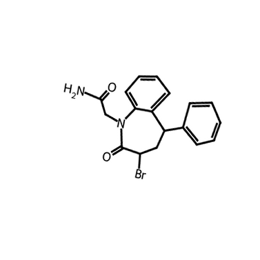 NC(=O)CN1C(=O)C(Br)CC(c2ccccc2)c2ccccc21